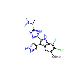 COc1cc2c(-c3cn[nH]c3)c(-c3nnc(C(C)N(C)C)[nH]3)[nH]c2c(F)c1Cl